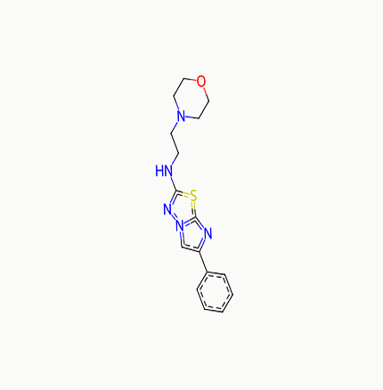 c1ccc(-c2cn3nc(NCCN4CCOCC4)sc3n2)cc1